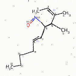 C/C=C(/C)C(C)C(/C=C/CCCC)N=O